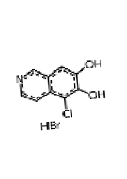 Br.Oc1cc2cnccc2c(Cl)c1O